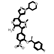 C[C@H](Oc1cc(-c2nn(C)c3c(-c4cnn(C5CCOCC5)c4)cnc(N)c23)ccc1[N+](=O)[O-])c1ccc(F)cc1